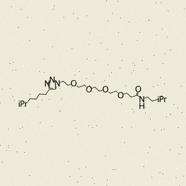 CC(C)CCCCc1cn(CCOCCOCCOCCOCCC(=O)NCCC(C)C)nn1